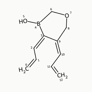 C=C/C=C1/B(O)COC/C1=C/C=C